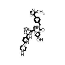 Cc1ncsc1-c1ccc(CNC(=O)[C@@H]2C[C@@H](O)CN2C(=O)[C@@H](NC(=O)c2ccc(N3CCNCC3)nc2)C(C)(C)C)cc1